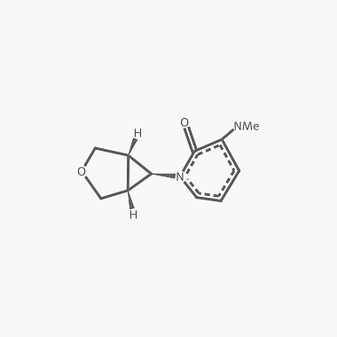 CNc1cccn([C@H]2[C@@H]3COC[C@@H]32)c1=O